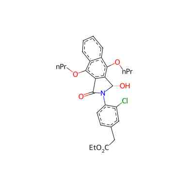 CCCOc1c2c(c(OCCC)c3ccccc13)[C@H](O)N(c1ccc(CC(=O)OCC)cc1Cl)C2=O